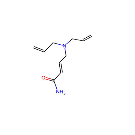 C=CCN(CC=C)CC=CC(N)=O